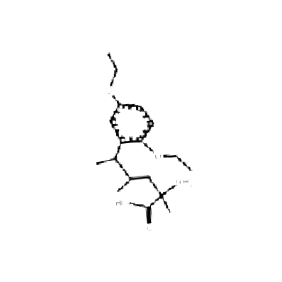 CCOc1ccc(OCC)c(C(C)C(C)CC(C)(N)C(=O)O)c1